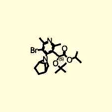 Cc1nc(C)c([C@H](OC(C)(C)C)C(=O)OC(C)C)c(N2CC3CCC2C3)c1Br